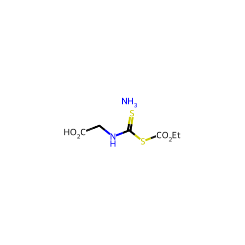 CCOC(=O)SC(=S)NCC(=O)O.N